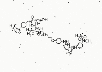 Cc1ncsc1-c1ccc(CNC(=O)[C@@H]2C[C@@H](O)CN2C(=O)[C@@H](NC(=O)COCCCOc2ccc(Nc3ncc(C(F)(F)F)c(NCc4cccc(N(C)S(C)(=O)=O)c4)n3)cc2)C(C)(C)C)cc1